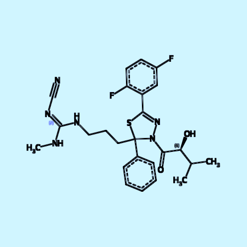 CN/C(=N/C#N)NCCCC1(c2ccccc2)SC(c2cc(F)ccc2F)=NN1C(=O)[C@@H](O)C(C)C